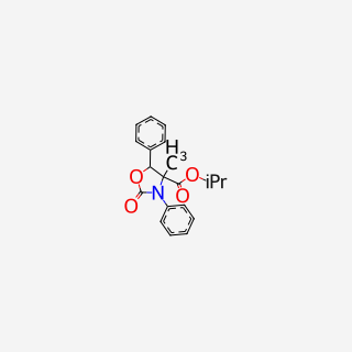 CC(C)OC(=O)C1(C)C(c2ccccc2)OC(=O)N1c1ccccc1